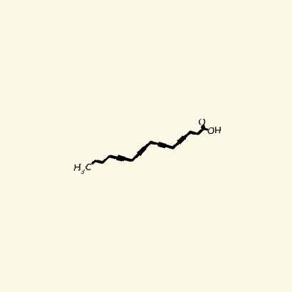 CCCCC#CCC#CCC#CCC#CCCC(=O)O